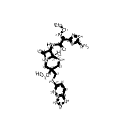 CCON=C(C(=O)NC1C(=O)N2CC(CSc3ccc4nnnn4n3)(C(=O)O)CS[C@H]12)c1nsc(N)n1